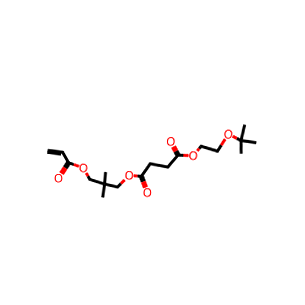 C=CC(=O)OCC(C)(C)COC(=O)CCC(=O)OCCOC(C)(C)C